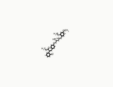 COC(=O)C(=Cc1ccc(OCC(O)CNCc2ccc(OC)cc2OC)cc1)c1ccccc1Cl